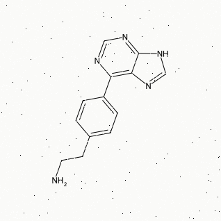 NCCc1ccc(-c2ncnc3[nH]cnc23)cc1